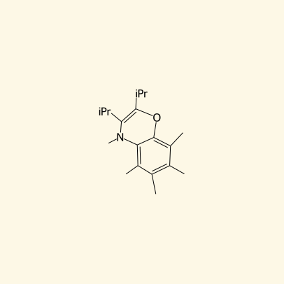 Cc1c(C)c(C)c2c(c1C)OC(C(C)C)=C(C(C)C)N2C